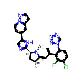 C=C(/C=C1/[C@H](C)C[C@H](c2ncc(-c3ccn4nccc4c3)[nH]2)N1C(C)=O)c1c(-n2cnnn2)ccc(Cl)c1F